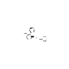 COC(=O)C1=C(c2ccccc2C)C(=CNOCC2CCCCC2)CC=C1